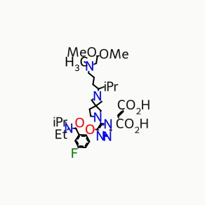 CCN(C(=O)c1cc(F)ccc1Oc1nncnc1N1CCC2(C1)CN(C(CCCN(C)CC(OC)OC)C(C)C)C2)C(C)C.O=C(O)/C=C/C(=O)O